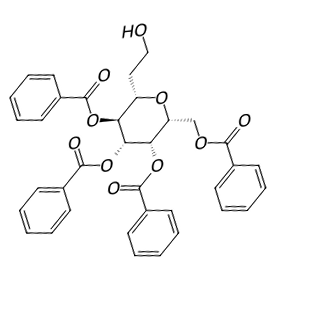 O=C(OC[C@H]1O[C@@H](CCO)[C@H](OC(=O)c2ccccc2)[C@@H](OC(=O)c2ccccc2)[C@H]1OC(=O)c1ccccc1)c1ccccc1